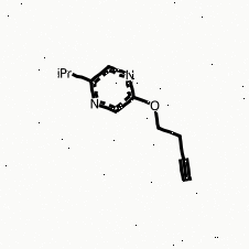 C#CCCOc1cnc(C(C)C)cn1